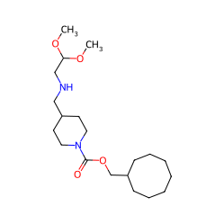 COC(CNCC1CCN(C(=O)OCC2CCCCCCC2)CC1)OC